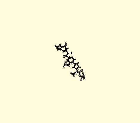 Cc1cn2cc(NC(=O)c3ccc(N4CCC(N(C(=O)OC(C)(C)C)C5CC5)C4)c4cn(C)nc34)cc(F)c2n1